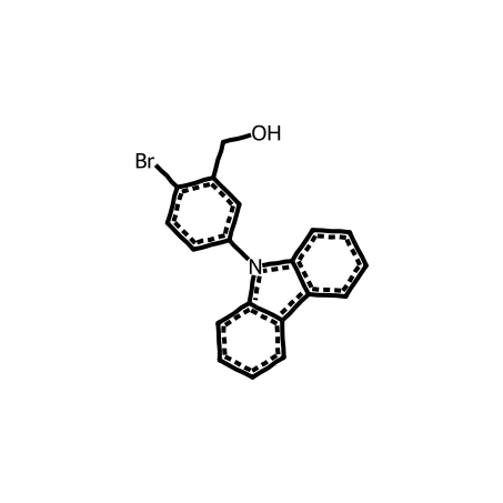 OCc1cc(-n2c3ccccc3c3ccccc32)ccc1Br